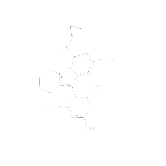 Cc1cc(C)c(-n2c3c(c4c(NC5CC5)cc(C)nc42)CCCC3)c(C)c1